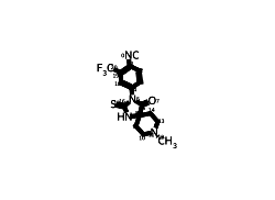 [C-]#[N+]c1ccc(N2C(=O)C3(CCN(C)CC3)NC2=S)cc1C(F)(F)F